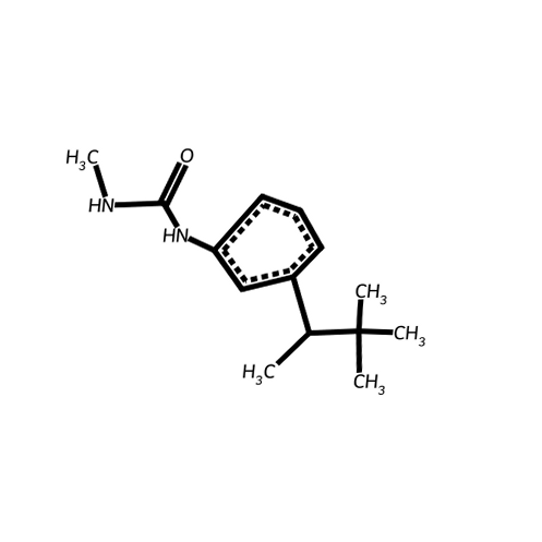 CNC(=O)Nc1cccc(C(C)C(C)(C)C)c1